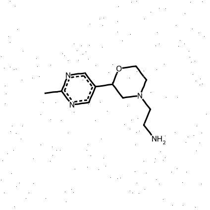 Cc1ncc(C2CN(CCN)CCO2)cn1